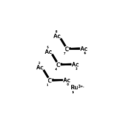 CC(=O)[CH-]C(C)=O.CC(=O)[CH-]C(C)=O.CC(=O)[CH-]C(C)=O.[Ru+3]